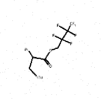 CC(C)C(CC(C)(C)C)C(=O)OCC(F)(F)C(F)(F)C(F)(F)F